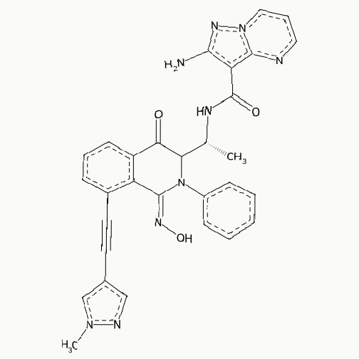 C[C@@H](NC(=O)c1c(N)nn2cccnc12)C1C(=O)c2cccc(C#Cc3cnn(C)c3)c2C(=NO)N1c1ccccc1